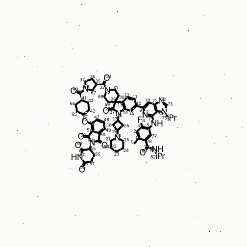 Cc1cc(F)c(Nc2nc(-c3ccc4c(c3)N(C3CC(N5CCCCC5)C3)C(=O)C43CCN(C(=O)[C@@H]4CCN(C(=O)[C@H]5CC[C@H](Oc6cccc7c6C(=O)N(C6CCC(=O)NC6=O)C7=O)CC5)C4)CC3)cc3ncn(C(C)C)c23)cc1C(=O)NC(C)C